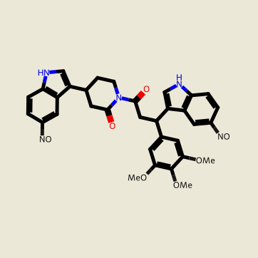 COc1cc(C(CC(=O)N2CCC(c3c[nH]c4ccc(N=O)cc34)CC2=O)c2c[nH]c3ccc(N=O)cc23)cc(OC)c1OC